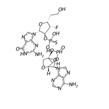 Nc1nc2c(ncn2[C@@H]2O[C@H](CCO)[C@H](F)[C@H]2OP(O)(=S)OC[C@@]23CO[C@@H]([C@H](n4cnc5c(N)ncnc54)O2)[C@@H]3O[PH](=O)O)c(=O)[nH]1